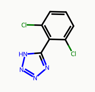 Clc1cccc(Cl)c1-c1nnn[nH]1